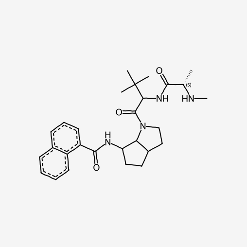 CN[C@@H](C)C(=O)NC(C(=O)N1CCC2CCC(NC(=O)c3cccc4ccccc34)C21)C(C)(C)C